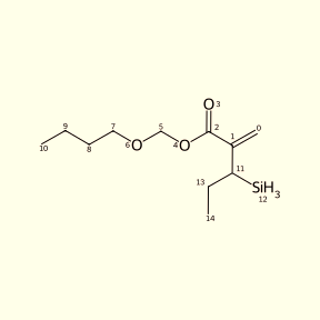 C=C(C(=O)OCOCCCC)C([SiH3])CC